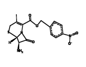 CC1=C(C(=O)OCc2ccc([N+](=O)[O-])cc2)N2C(=O)[C@@H](N)[C@@H]2SC1